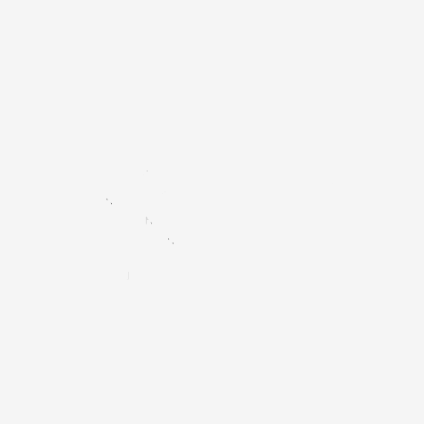 Cc1ccc(C2CCc3c(cnn(-c4ncccc4Cl)c3=O)C2)c(C)c1